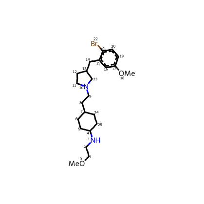 COCCNC1CCC(CCN2CCC(Cc3cc(OC)ccc3Br)C2)CC1